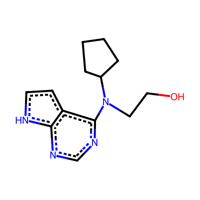 OCCN(c1ncnc2[nH]ccc12)C1CCCC1